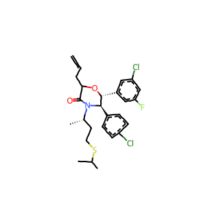 C=CCC1O[C@H](c2cc(F)cc(Cl)c2)[C@@H](c2ccc(Cl)cc2)N([C@@H](C)CCSC(C)C)C1=O